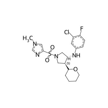 Cn1cnc(S(=O)(=O)N2C[C@H](Nc3ccc(F)c(Cl)c3)[C@@H](C3CCCCO3)C2)c1